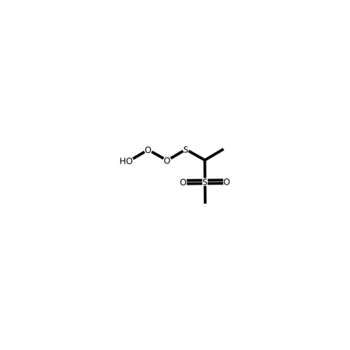 CC(SOOO)S(C)(=O)=O